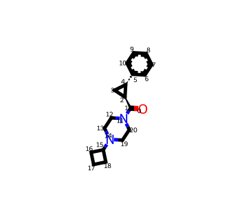 O=C([C@H]1C[C@@H]1c1ccccc1)N1CCN(C2CCC2)CC1